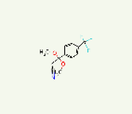 COC(CC#N)(OC)c1ccc(C(F)(F)F)cc1